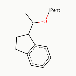 CCCC(C)OC(C)C1CCc2ccccc21